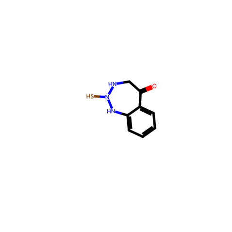 O=C1CNN(S)Nc2ccccc21